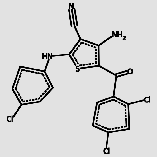 N#Cc1c(Nc2ccc(Cl)cc2)sc(C(=O)c2ccc(Cl)cc2Cl)c1N